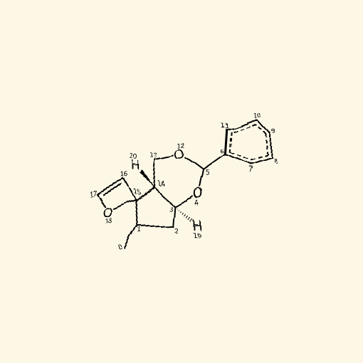 CC1C[C@@H]2OC(c3ccccc3)OC[C@H]2C12C=CO2